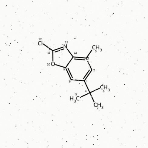 Cc1cc(C(C)(C)C)cc2oc(Cl)nc12